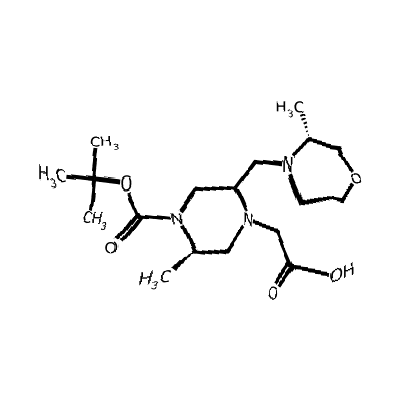 C[C@@H]1COCCN1CC1CN(C(=O)OC(C)(C)C)[C@H](C)CN1CC(=O)O